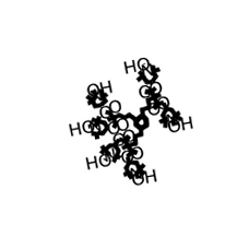 CC(CCCc1ccc(CCCC(C)(C(=O)OC2CC(C)(C)N(O)C(C)(C)C2)C(=O)OC2CC(C)(C)N(O)C(C)(C)C2)c(CCCC(C)(C(=O)OC2CC(C)(C)N(O)C(C)(C)C2)C(=O)OC2CC(C)(C)N(O)C(C)(C)C2)c1)(C(=O)OC1CC(C)(C)N(O)C(C)(C)C1)C(=O)OC1CC(C)(C)N(O)C(C)(C)C1